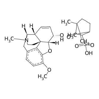 CC12CCC(C(S(=O)(=O)O)C1=O)C2(C)C.COc1ccc2c3c1O[C@H]1[C@@H](O)C=C[C@H]4[C@@H](C2)N(C)CC[C@@]341